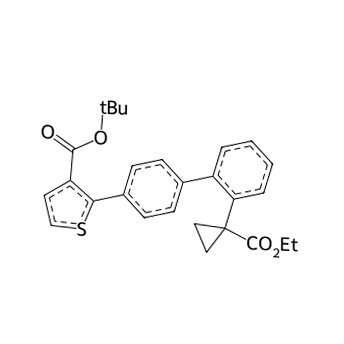 CCOC(=O)C1(c2ccccc2-c2ccc(-c3sccc3C(=O)OC(C)(C)C)cc2)CC1